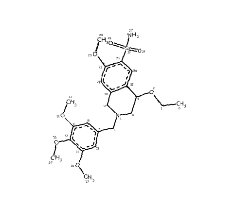 CCOC1CN(Cc2cc(OC)c(OC)c(OC)c2)Cc2cc(OC)c(S(N)(=O)=O)cc21